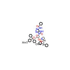 COc1ccc(C(OC[C@H]2O[C@@H](n3c(=O)[nH]c4c(NC(=O)c5ccccc5)ncnc43)C[C@@H]2O[P@@]2O[C@H](C[Si](C)(c3ccccc3)c3ccccc3)[C@@H]3CCCN32)(c2ccccc2)c2ccc(OC)cc2)cc1